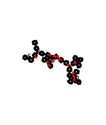 c1ccc(-c2ccc(N(c3ccc(-c4cccc5c4-c4ccccc4C54c5ccc6ccccc6c5Oc5c4ccc4ccc(-c6ccc(-c7ccc(N(c8ccc(-c9ccc%10c(c9)C9(c%11ccccc%11-%10)c%10ccc%11ccccc%11c%10Oc%10c9ccc9ccccc%109)cc8)c8ccc9c(c8)-c8ccccc8C9(c8ccccc8)c8ccccc8)cc7)cc6)cc54)cc3)c3ccc(-c4cccc5c4sc4ccccc45)cc3)cc2)cc1